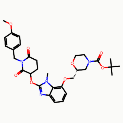 COc1ccc(CN2C(=O)CCC(Oc3nc4cccc(OC[C@H]5CN(C(=O)OC(C)(C)C)CCO5)c4n3C)C2=O)cc1